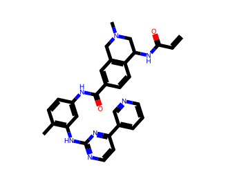 C=CC(=O)NC1CN(C)Cc2cc(C(=O)Nc3ccc(C)c(Nc4nccc(-c5cccnc5)n4)c3)ccc21